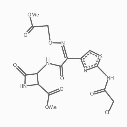 COC(=O)CO/N=C(\C(=O)NC1C(=O)NC1C(=O)OC)c1csc(NC(=O)CCl)n1